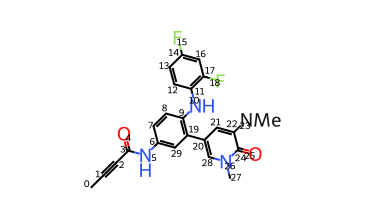 CC#CC(=O)Nc1ccc(Nc2ccc(F)cc2F)c(-c2cc(NC)c(=O)n(C)c2)c1